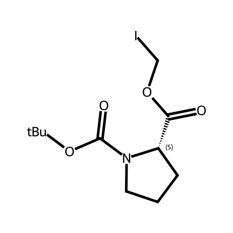 CC(C)(C)OC(=O)N1CCC[C@H]1C(=O)OCI